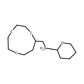 C1CCCCC(C[SiH2]C2CCCCO2)CCCC1